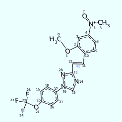 COc1cc([N+](C)=O)ccc1/C=C/c1ncn(-c2ccc(OC(F)(F)F)cc2)n1